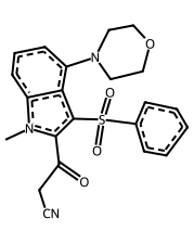 Cn1c(C(=O)CC#N)c(S(=O)(=O)c2ccccc2)c2c(N3CCOCC3)cccc21